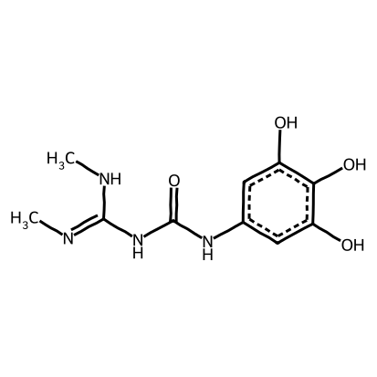 C/N=C(\NC)NC(=O)Nc1cc(O)c(O)c(O)c1